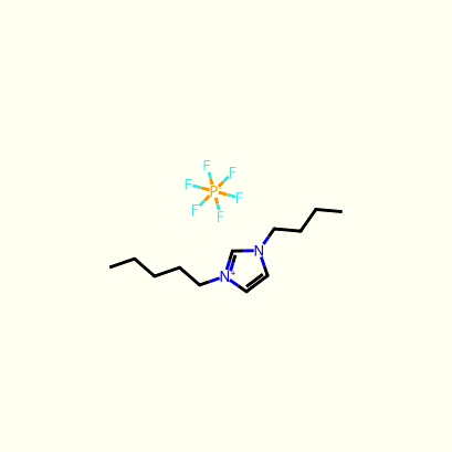 CCCCC[n+]1ccn(CCCC)c1.F[P-](F)(F)(F)(F)F